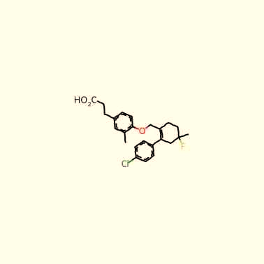 Cc1cc(CCC(=O)O)ccc1OCC1=C(c2ccc(Cl)cc2)CC(C)(F)CC1